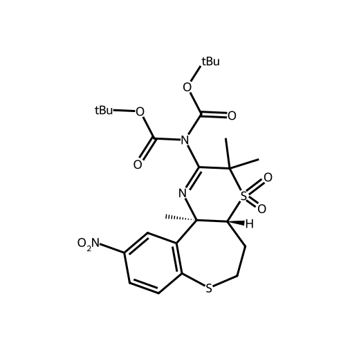 CC(C)(C)OC(=O)N(C(=O)OC(C)(C)C)C1=N[C@]2(C)c3cc([N+](=O)[O-])ccc3SCC[C@H]2S(=O)(=O)C1(C)C